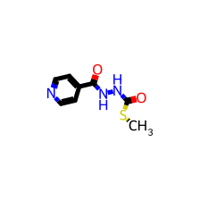 CSC(=O)NNC(=O)c1ccncc1